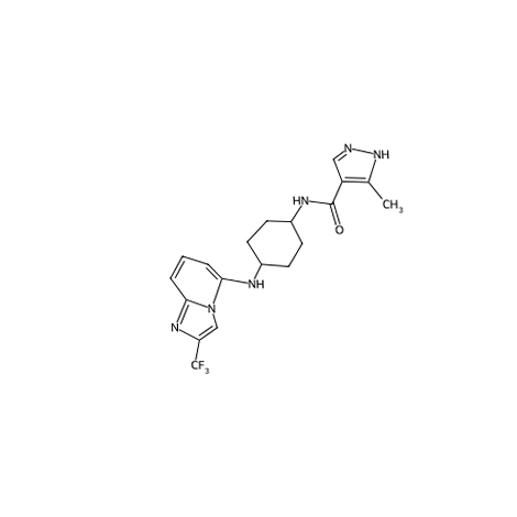 Cc1[nH]ncc1C(=O)NC1CCC(Nc2cccc3nc(C(F)(F)F)cn23)CC1